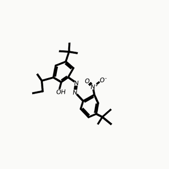 CCC(C)c1cc(C(C)(C)C)cc(/N=N/c2ccc(C(C)(C)C)cc2[N+](=O)[O-])c1O